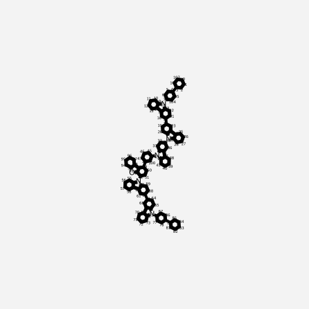 c1ccc(-c2ccc(-n3c4ccccc4c4cc(-c5ccc6c(c5)c5ccccc5n6-c5ccc6c(c5)c5ccccc5n6-c5cccc(-c6ccc(-n7c8ccccc8c8cc(-c9ccc%10c(c9)c9ccccc9n%10-c9ccc(-c%10ccccc%10)cc9)ccc87)c7oc8ccccc8c67)c5)ccc43)cc2)cc1